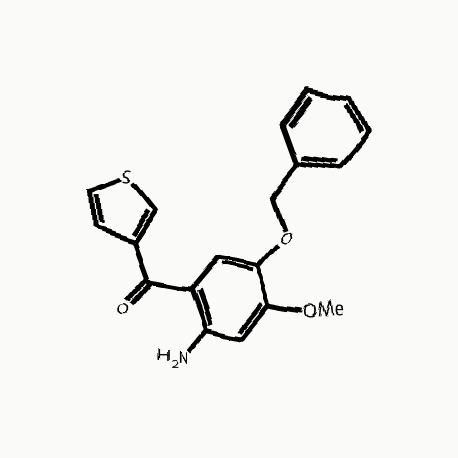 COc1cc(N)c(C(=O)c2ccsc2)cc1OCc1ccccc1